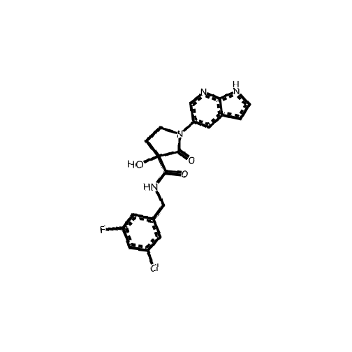 O=C(NCc1cc(F)cc(Cl)c1)C1(O)CCN(c2cnc3[nH]ccc3c2)C1=O